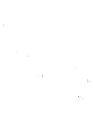 CSc1ncn2c(C)c(C3=C(C(=O)O)N4C(=O)[C@H]([C@@H](C)O)[C@H]4C3)sc12